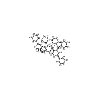 CCC1Cc2c(cccc2-c2c(C)cccc2-c2cccc3c4ccccc4n(-c4cccc(-c5ccccc5)c4)c23)-c2ccccc21